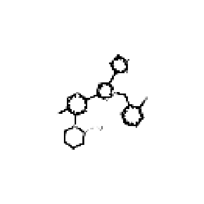 O=C(O)[C@@H]1CCCCN1c1nc(-c2cc(-c3ccon3)n(Cc3ccccc3F)n2)ncc1F